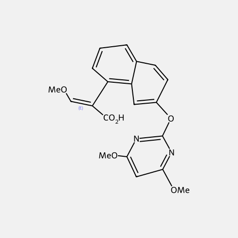 CO/C=C(/C(=O)O)c1cccc2ccc(Oc3nc(OC)cc(OC)n3)cc12